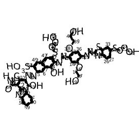 Cc1c(N=Nc2cc3c(O)c(N=Nc4cc(OCCO)c(N=Nc5nc6ccc(SOOO)cc6s5)cc4OCCO)c(SOOO)cc3cc2S(=O)(=O)O)c(O)n2c(nc3ccccc32)c1C(N)=O